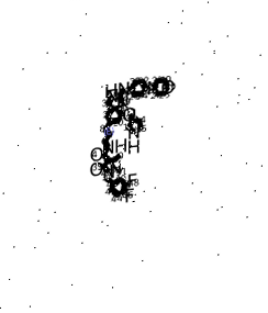 Cc1c(C(=O)NC/C=C/c2cc(OC3CCNC3)c3nc(Nc4ccc(N5CCOCC5)cc4)ncc3c2)c(=O)n(Cc2ccc(F)c(F)c2)n1C